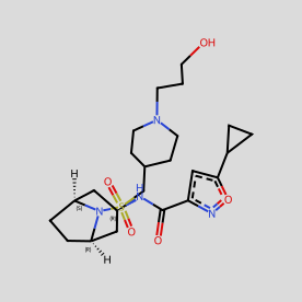 O=C(N[C@H]1C[C@H]2CC[C@@H](C1)N2S(=O)(=O)CC1CCN(CCCO)CC1)c1cc(C2CC2)on1